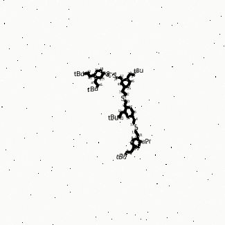 CCCC1CC(CCC(C)(C)C)CCC1CCSCCC1CCC(CCSCCC2CCC(CCC(C)(C)C)C(CCSCCC3CCC(CCC(C)(C)C)C(CCC(C)(C)C)C3)C2)C(CCC(C)(C)C)C1